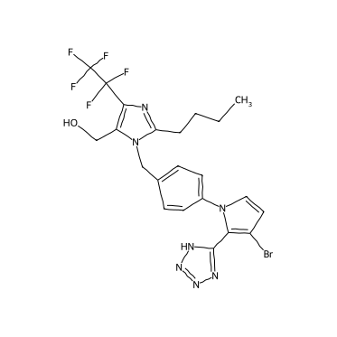 CCCCc1nc(C(F)(F)C(F)(F)F)c(CO)n1Cc1ccc(-n2ccc(Br)c2-c2nnn[nH]2)cc1